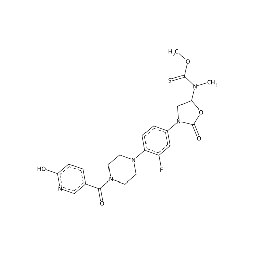 COC(=S)N(C)C1CN(c2ccc(N3CCN(C(=O)c4ccc(O)nc4)CC3)c(F)c2)C(=O)O1